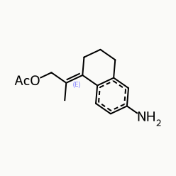 CC(=O)OC/C(C)=C1\CCCc2cc(N)ccc21